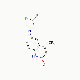 O=c1cc(C(F)(F)F)c2cc(NCC(F)F)ccc2[nH]1